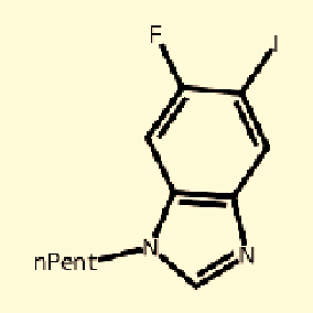 CCCCCn1cnc2cc(I)c(F)cc21